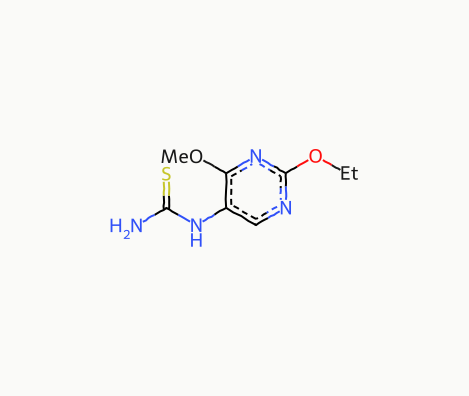 CCOc1ncc(NC(N)=S)c(OC)n1